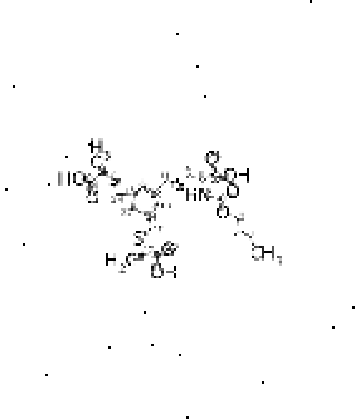 CCCCOC(=O)NC(CSCc1cc(CSC(C)C(=O)O)cc(CSC(C)C(=O)O)c1)C(=O)O